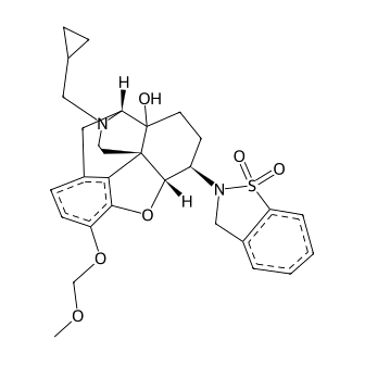 COCOc1ccc2c3c1O[C@H]1[C@H](N4Cc5ccccc5S4(=O)=O)CCC4(O)[C@@H](C2)N(CC2CC2)CC[C@]314